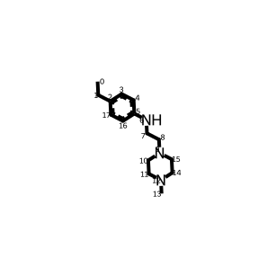 CCc1ccc(NCCN2CCN(C)CC2)cc1